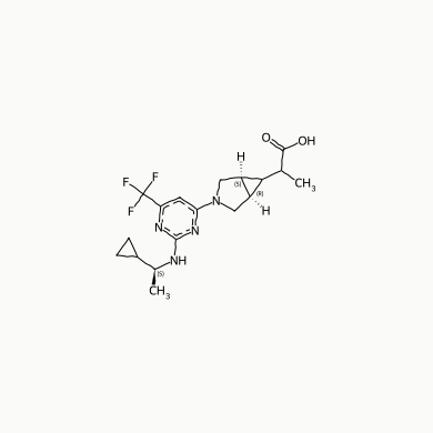 CC(C(=O)O)C1[C@H]2CN(c3cc(C(F)(F)F)nc(N[C@@H](C)C4CC4)n3)C[C@@H]12